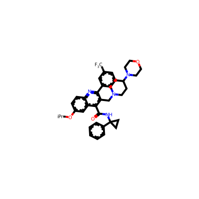 CC(C)Oc1ccc2nc(-c3cccc(C(F)(F)F)c3)c(CN3CCC(N4CCOCC4)CC3)c(C(=O)NC3(c4ccccc4)CC3)c2c1